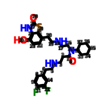 O=C(CCNCCc1ccc(F)c(F)c1)N(CCNCCc1ccc(O)c2[nH]c(=O)sc12)C1CCCCC1